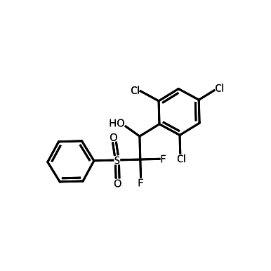 O=S(=O)(c1ccccc1)C(F)(F)C(O)c1c(Cl)cc(Cl)cc1Cl